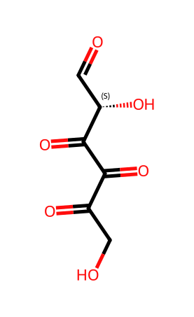 O=C[C@H](O)C(=O)C(=O)C(=O)CO